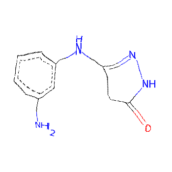 Nc1cccc(NC2=NNC(=O)C2)c1